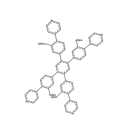 CCCCCCc1cc(-c2cc(-c3ccc(-c4ccncc4)c(CCCCCC)c3)c(-c3ccc(-c4ccncc4)c(CCCCCC)c3)cc2-c2ccc(-c3ccncc3)c(CCCCCC)c2)ccc1-c1ccncc1